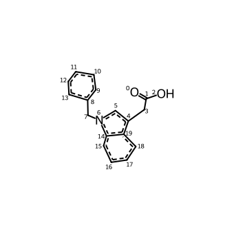 O=C(O)Cc1cn(Cc2ccccc2)c2ccccc12